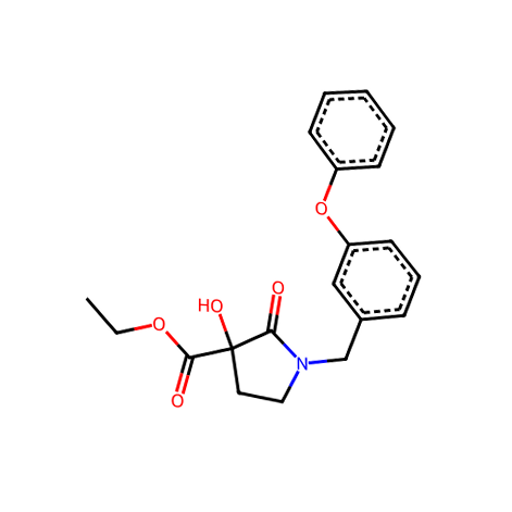 CCOC(=O)C1(O)CCN(Cc2cccc(Oc3ccccc3)c2)C1=O